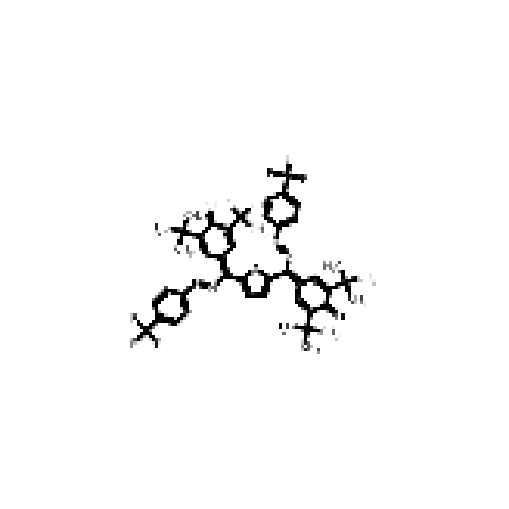 CC(C)(C)C1=CC(=C(/N=N/c2ccc(C(F)(F)F)cc2)c2ccc(C(/N=N/c3ccc(C(F)(F)F)cc3)=C3C=C(C(C)(C)C)C(=O)C(C(C)(C)C)=C3)s2)C=C(C(C)(C)C)C1=O